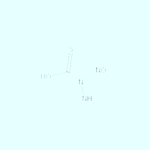 NN(C(O)=S)[N+](=O)[O-]